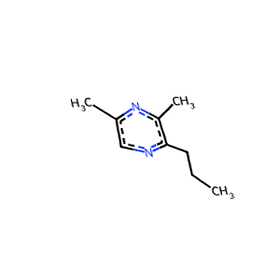 CCCc1ncc(C)nc1C